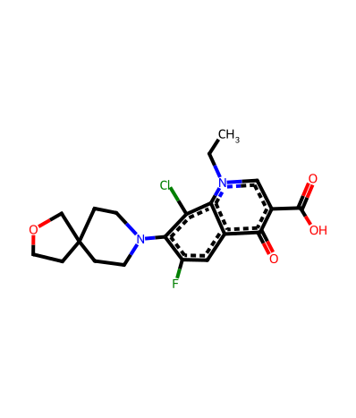 CCn1cc(C(=O)O)c(=O)c2cc(F)c(N3CCC4(CCOC4)CC3)c(Cl)c21